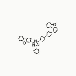 c1ccc(-c2nc(-c3ccc(-c4ccc(-c5cccc6oc7ccccc7c56)cc4)cc3)nc(-c3ccc4c(c3)oc3ccccc34)n2)cc1